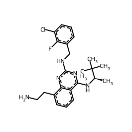 C[C@@H](Nc1nc(NCc2cccc(Cl)c2F)nc2c(CCN)cccc12)C(C)(C)C